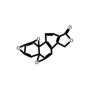 O=C1OCc2c1ccc1c2C=C2OC23C=C2OC2=C2OC213